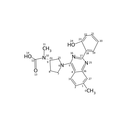 Cc1ccc2c(N3CC[C@H](N(C)C(=O)O)C3)nc(-c3ccccc3O)nc2c1